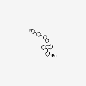 CC(C)(C)c1cccc(-c2c3ccccc3c(-c3ccc4ccc(-c5ccc(-c6ccncc6)cc5)cc4c3)c3ccccc23)c1